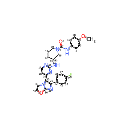 COc1ccc(NC(=O)N2CCC[C@@H](Nc3nccc(-c4c(-c5ccc(F)cc5)nc5occn45)n3)C2)cc1